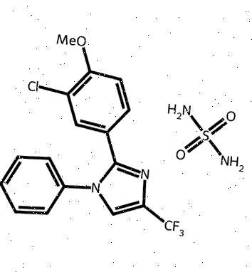 COc1ccc(-c2nc(C(F)(F)F)cn2-c2ccccc2)cc1Cl.NS(N)(=O)=O